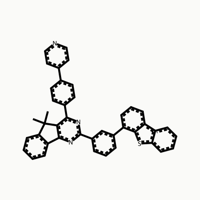 CC1(C)c2ccccc2-c2nc(-c3cccc(-c4cccc5c4sc4ccccc45)c3)nc(-c3ccc(-c4ccncc4)cc3)c21